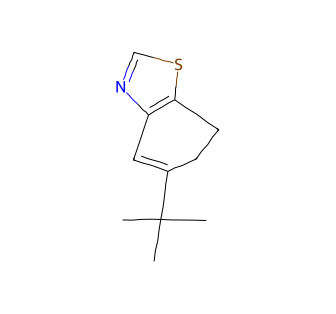 CC(C)(C)C1=Cc2ncsc2CC1